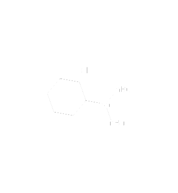 CCC[CH2][Sn+]([CH2]CCC)[CH]1CCCCC1.[Cl-]